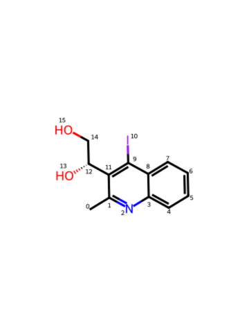 Cc1nc2ccccc2c(I)c1[C@H](O)CO